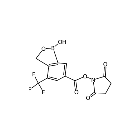 O=C(ON1C(=O)CCC1=O)c1cc2c(c(C(F)(F)F)c1)COB2O